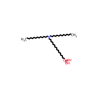 CCCCCCCCCCCCCCN(CCCCCCCCCCCCCC)CCCCCCCCCCCCCCCCOP(O)O